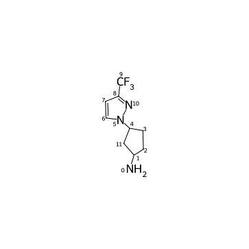 NC1CCC(n2ccc(C(F)(F)F)n2)C1